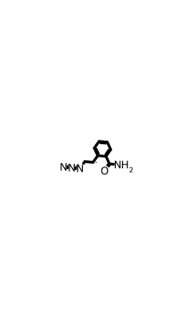 [N-]=[N+]=NC[CH]c1ccccc1C(N)=O